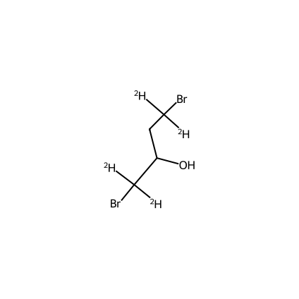 [2H]C([2H])(Br)CC(O)C([2H])([2H])Br